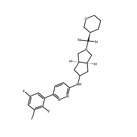 [2H]C([2H])([C@@H]1CCCOC1)N1C[C@H]2CC(Nc3ccc(-c4cc(F)cc(F)c4F)nn3)C[C@H]2C1